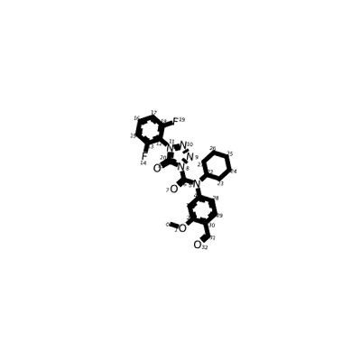 COc1cc(N(C(=O)n2nnn(-c3c(F)cccc3F)c2=O)C2CCCCC2)ccc1C=O